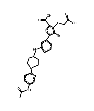 CC(=O)Nc1ccc(N2CCC(Nc3cccc(-c4sc(C(=O)O)c(OCC(=O)O)c4Br)c3)CC2)nc1